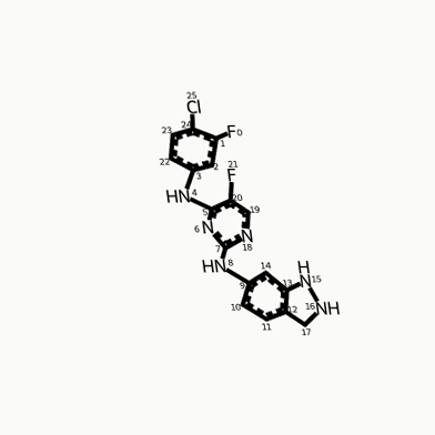 Fc1cc(Nc2nc(Nc3ccc4c(c3)NNC4)ncc2F)ccc1Cl